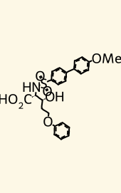 COc1ccc(-c2ccc(S(=O)(=O)N[C@@H](C(=O)O)[C@H](O)CCOc3ccccc3)cc2)cc1